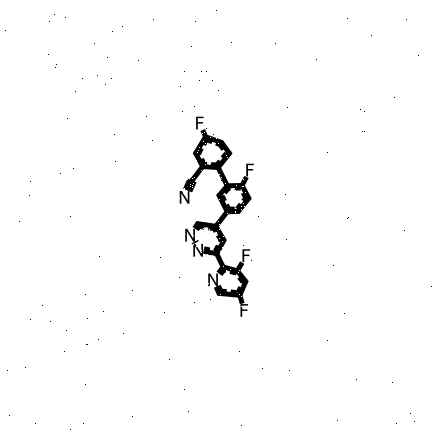 N#Cc1cc(F)ccc1-c1cc(-c2cnnc(-c3ncc(F)cc3F)c2)ccc1F